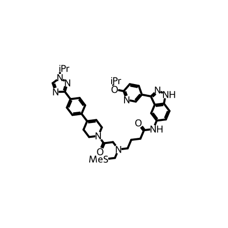 CSCN(CCCC(=O)Nc1ccc2[nH]nc(-c3ccc(OC(C)C)nc3)c2c1)CC(=O)N1CC=C(c2ccc(-c3ncn(C(C)C)n3)cc2)CC1